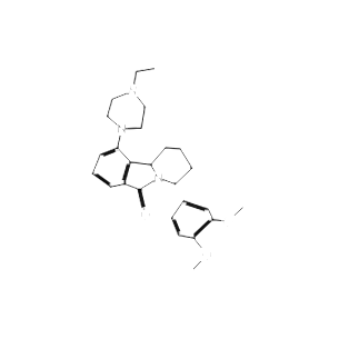 CCN1CCN(c2cccc3c2C2CCC[C@H](c4ccc(OC)c(OC)c4)N2C3=O)CC1